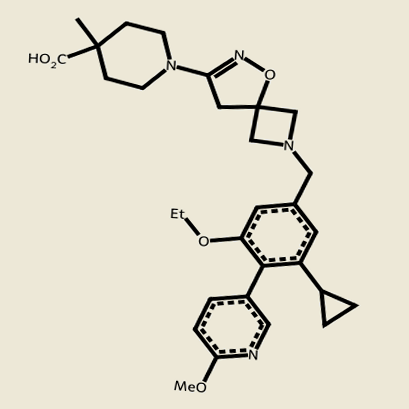 CCOc1cc(CN2CC3(CC(N4CCC(C)(C(=O)O)CC4)=NO3)C2)cc(C2CC2)c1-c1ccc(OC)nc1